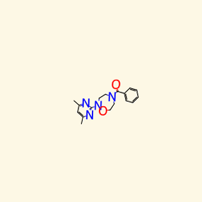 Cc1cc(C)nc(N2CCN(C(=O)c3ccccc3)CCO2)n1